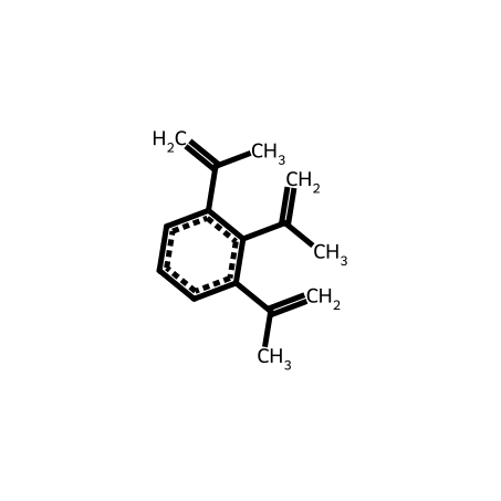 C=C(C)c1cccc(C(=C)C)c1C(=C)C